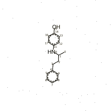 CC(CCc1ccccc1)Nc1ccc(O)cc1